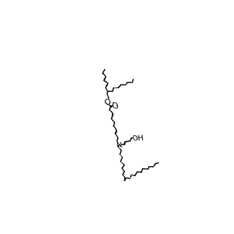 C=C(CCCCCCCCCCC)CCCCCCCCCN(CCCCO)CCCCCCCCCC(=O)OCCC(CCCCCC)CCCCCCCC